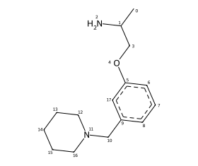 CC(N)COc1cccc(CN2CCCCC2)c1